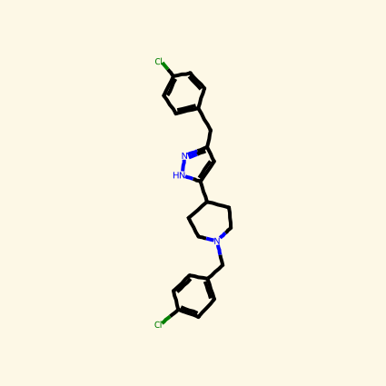 Clc1ccc(Cc2cc(C3CCN(Cc4ccc(Cl)cc4)CC3)[nH]n2)cc1